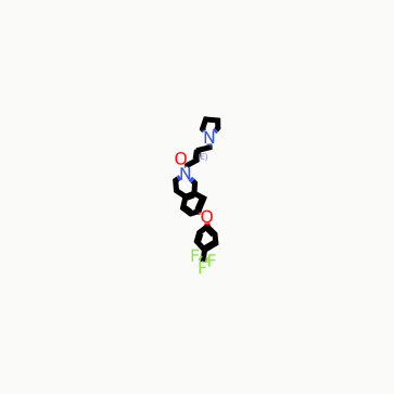 O=C(/C=C/CN1CCCC1)N1CCc2ccc(Oc3ccc(C(F)(F)F)cc3)cc2C1